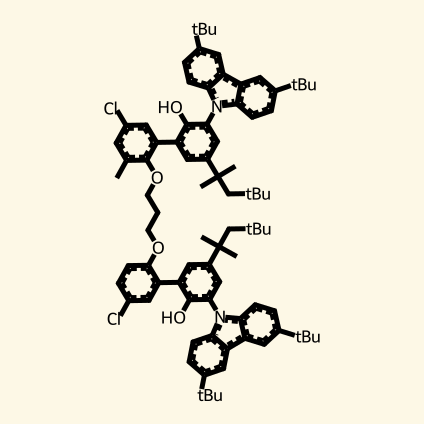 Cc1cc(Cl)cc(-c2cc(C(C)(C)CC(C)(C)C)cc(-n3c4ccc(C(C)(C)C)cc4c4cc(C(C)(C)C)ccc43)c2O)c1OCCCOc1ccc(Cl)cc1-c1cc(C(C)(C)CC(C)(C)C)cc(-n2c3ccc(C(C)(C)C)cc3c3cc(C(C)(C)C)ccc32)c1O